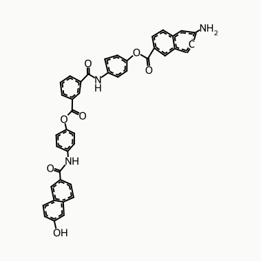 Nc1ccc2cc(C(=O)Oc3ccc(NC(=O)c4cccc(C(=O)Oc5ccc(NC(=O)c6ccc7cc(O)ccc7c6)cc5)c4)cc3)ccc2c1